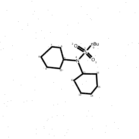 CCCCS(=O)(=O)N(C1CCCCC1)C1CCCCC1